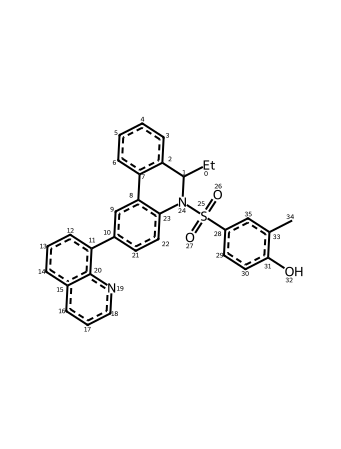 CCC1c2ccccc2-c2cc(-c3cccc4cccnc34)ccc2N1S(=O)(=O)c1ccc(O)c(C)c1